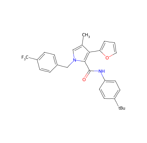 Cc1cn(Cc2ccc(C(F)(F)F)cc2)c(C(=O)Nc2ccc(C(C)(C)C)cc2)c1-c1ccco1